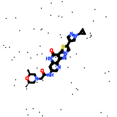 C[C@H]1CN(CC(=O)Nc2cnc3c(c2)[nH]c(=O)c2c3nn3cc(-c4cnn(C5CC5)c4)sc23)C[C@H](C)O1